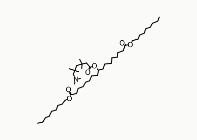 CCCCCCCCCOC(=O)CCCCCCCC(CCCCCCCC(=O)OCCCCCCCCC)OC(=O)CC(C)(C)CC(C)(C)CN(C)C